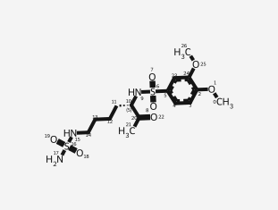 COc1ccc(S(=O)(=O)N[C@@H](CCCCNS(N)(=O)=O)C(C)=O)cc1OC